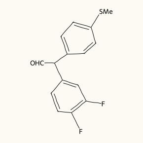 CSc1ccc(C(C=O)c2ccc(F)c(F)c2)cc1